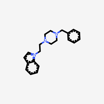 c1ccc(CN2CCN(CCn3ccc4ccccc43)CC2)cc1